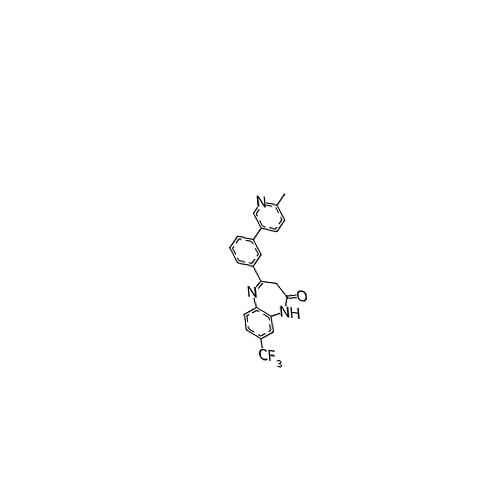 Cc1ccc(-c2cccc(C3=Nc4ccc(C(F)(F)F)cc4NC(=O)C3)c2)cn1